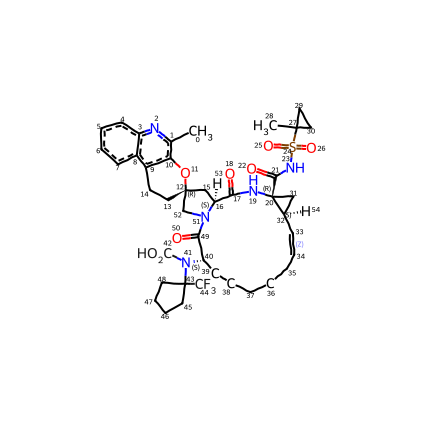 Cc1nc2ccccc2c2c1O[C@]1(CC2)C[C@H]2C(=O)N[C@]3(C(=O)NS(=O)(=O)C4(C)CC4)C[C@H]3/C=C\CCCCC[C@H](N(C(=O)O)C3(C(F)(F)F)CCCC3)C(=O)N2C1